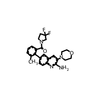 Cc1cccc(C(=O)N2CCC(F)(F)C2)c1-c1ccc2nc(N)c(N3CCOCC3)cc2c1